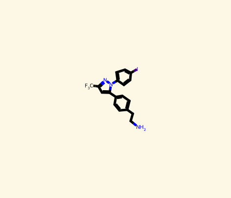 NCCc1ccc(-c2cc(C(F)(F)F)nn2-c2ccc(I)cc2)cc1